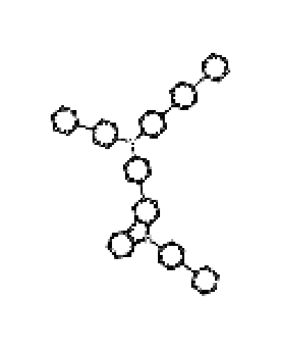 c1ccc(-c2ccc(-c3ccc(N(c4ccc(-c5ccccc5)cc4)c4ccc(-c5ccc6c(c5)c5ccccc5n6-c5ccc(-c6ccccc6)cc5)cc4)cc3)cc2)cc1